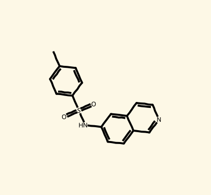 Cc1ccc(S(=O)(=O)Nc2ccc3cnccc3c2)cc1